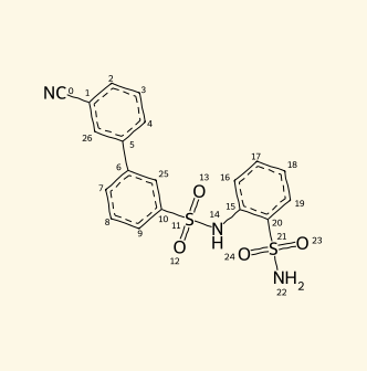 N#Cc1cccc(-c2cccc(S(=O)(=O)Nc3ccccc3S(N)(=O)=O)c2)c1